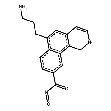 NCCCc1cc2c(c3cc(C(=O)N=O)ccc13)C[N]C=C2